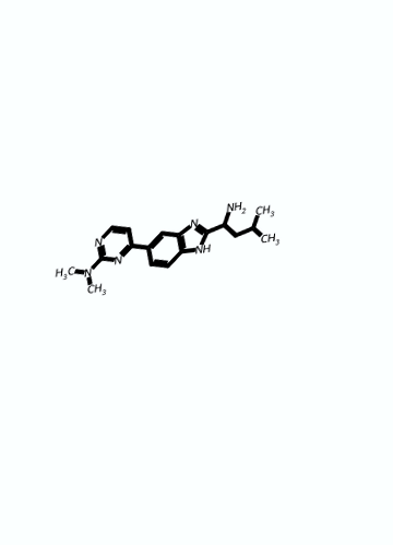 CC(C)CC(N)c1nc2cc(-c3ccnc(N(C)C)n3)ccc2[nH]1